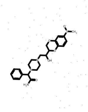 C[S+]([O-])c1ccc2c(c1)OCC(C(O)CN1CCN(C(C(N)=O)c3ccccc3)CC1)O2